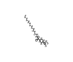 CCCCCCCCCCCCCCCCOC(=O)c1ccc(N(CC)CC)cc1